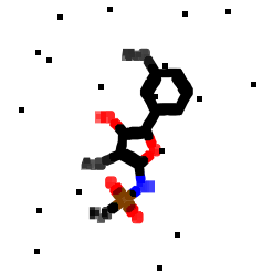 COc1cccc(-c2oc(NS(C)(=O)=O)c(OC(C)=O)c2O)c1